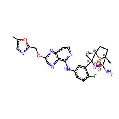 Cc1cnc(COc2cnc3c(Nc4ccc(F)c([C@@]5(C)N=C(N)[C@@]6(C)CC[C@@H]5S6(=O)=O)c4)nccc3n2)o1